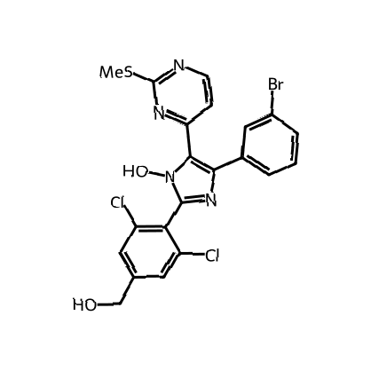 CSc1nccc(-c2c(-c3cccc(Br)c3)nc(-c3c(Cl)cc(CO)cc3Cl)n2O)n1